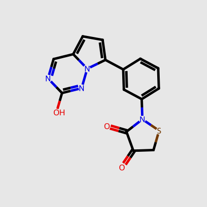 O=C1CSN(c2cccc(-c3ccc4cnc(O)nn34)c2)C1=O